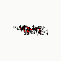 CC(C)(C)S(F)(c1ccc(C(=O)NC[C@@H](C(=O)N[C@H](CCCCNC(=O)CCC(=O)NCCC[C@H](NC(=O)CC[C@H](NC(=O)N[C@@H](CCC(=O)O)C(=O)O)C(=O)O)C(=O)O)C(=O)O)n2cc(CNC(=O)CCP(=O)(O)CN3CCN(CPCCC(=O)O)CCN(CP(=O)(O)CCC(=O)O)CC3)nn2)cc1)C(C)(C)C